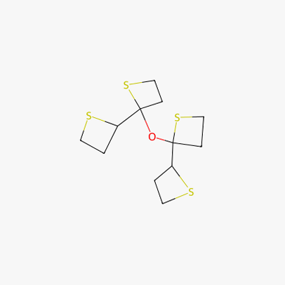 C1CC(C2(OC3(C4CCS4)CCS3)CCS2)S1